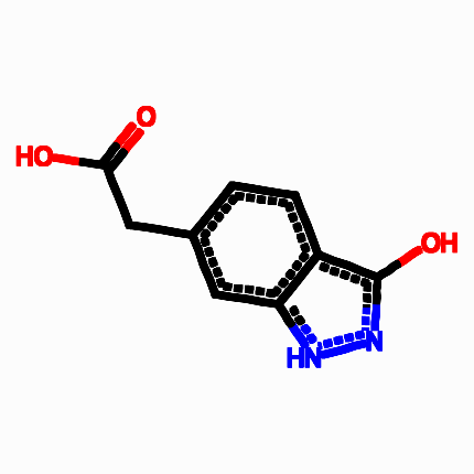 O=C(O)Cc1ccc2c(O)n[nH]c2c1